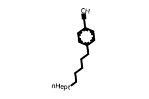 C#Cc1ccc(CCCCCCCCCCCC)cc1